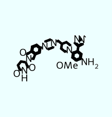 COc1cc(N2CCC(CN3CCN(c4ccc5c(c4)CN(C4CCC(=O)NC4=O)C5=O)CC3)CC2)c(-c2cnn(C)c2)cc1N